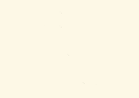 CN(C)c1ccc(NC(=O)C2=CCN(c3ncccc3Cl)CC2)cc1